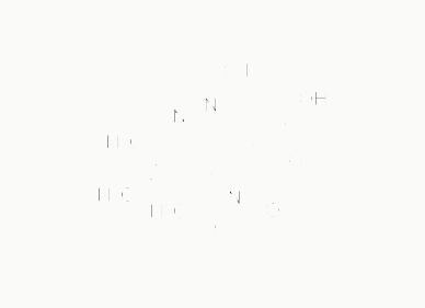 Cn1nc(C(C)(C)C)c([N+](=O)[O-])c1C(=O)O